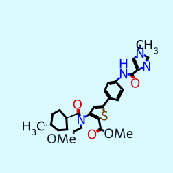 COCCN(c1cc(-c2ccc(NC(=O)c3cn(C)cn3)cc2)sc1C(=O)OC)C(=O)[C@H]1CC[C@H](C)CC1